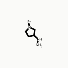 CCN1CCC(NN)C1